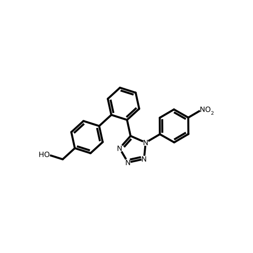 O=[N+]([O-])c1ccc(-n2nnnc2-c2ccccc2-c2ccc(CO)cc2)cc1